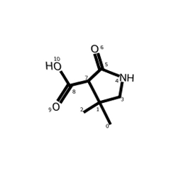 CC1(C)CNC(=O)C1C(=O)O